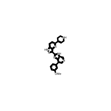 COc1cccc(-c2cncc3[nH]c(-c4n[nH]c5ccc(C6=CCNCC6)nc45)nc23)c1